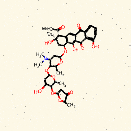 CC[C@@]1(O)C[C@H](OC2CC(N(C)C)C(OC3CC(O)C(OC4CC(=O)C(C)O4)C(C)O3)C(C)O2)c2c(cc3c(c2O)C(=O)c2c(O)cccc2C3=O)[C@H]1C(=O)OC